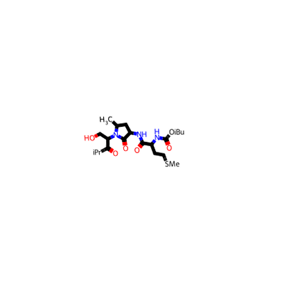 CSCCC(NC(=O)OCC(C)C)C(=O)NC1CC(C)N(C(CO)C(=O)C(C)C)C1=O